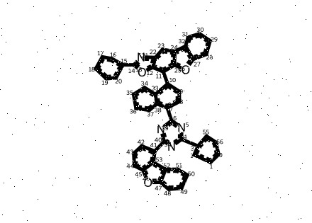 c1ccc(-c2nc(-c3ccc(-c4c5oc(-c6ccccc6)nc5cc5c4oc4ccccc45)c4ccccc34)nc(-c3cccc4oc5ccccc5c34)n2)cc1